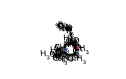 CC[C@H]1OC(=O)[C@H](C)C(=O)[C@H](C)[C@@H](O[C@@H]2O[C@H](C)CC(N(C)C)C2O)/C(C)=C/CN[C@H](C)[C@H]2N(CCCCn3cc(-c4ccccn4)nn3)C(=O)O[C@]12C